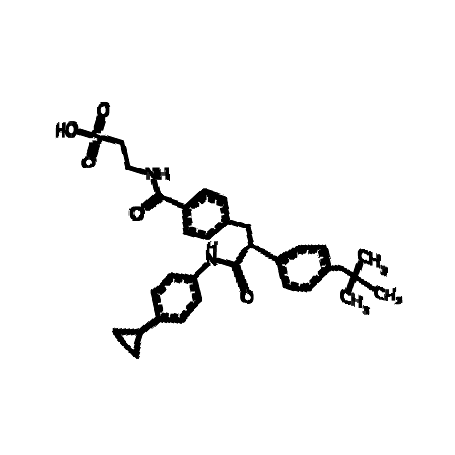 CC(C)(C)c1ccc(C(Cc2ccc(C(=O)NCCS(=O)(=O)O)cc2)C(=O)Nc2ccc(C3CC3)cc2)cc1